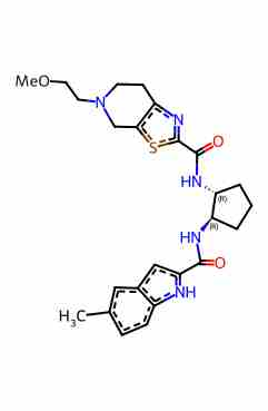 COCCN1CCc2nc(C(=O)N[C@@H]3CCC[C@H]3NC(=O)c3cc4cc(C)ccc4[nH]3)sc2C1